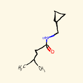 CC(C)CC(=O)NCC1CC1